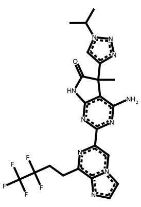 CC(C)n1cc(C2(C)C(=O)Nc3nc(-c4cn5ccnc5c(CCC(F)(F)C(F)(F)F)n4)nc(N)c32)nn1